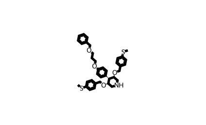 CSc1ccc(CO[C@H]2CNC[C@@H](OCc3ccc(SC)cc3)[C@H]2c2ccc(OCCCOCc3ccccc3)cc2)cc1